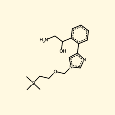 C[Si](C)(C)CCOCn1cnc(-c2ccccc2C(O)CN)c1